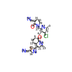 Cc1cc(Cl)c(COc2cccc3c(-c4ncc(C#N)s4)cc(C)nc23)c(Cn2cccc(C#N)c2=O)n1